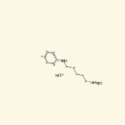 CCCCCCCCCCCCNc1ccccc1.Cl